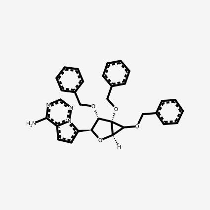 Nc1ncnn2c([C@@H]3O[C@@H]4C(OCc5ccccc5)[C@]4(OCc4ccccc4)[C@H]3OCc3ccccc3)ccc12